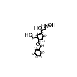 OCc1cc([C@H](O)CNO)ccc1OCc1ccccc1